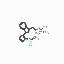 C[CH]=[Zr+2][C]1=C(C2C=C(CCO[Si](C)(C)C)c3ccccc32)CC=C1.[Cl-].[Cl-]